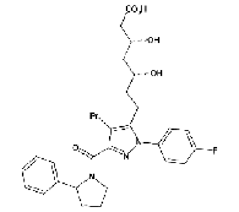 CC(C)c1c(C(=O)N2CCCC2c2ccccc2)nn(-c2ccc(F)cc2)c1CC[C@@H](O)C[C@@H](O)CC(=O)O